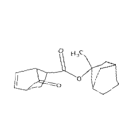 CC1(OC(=O)C2CC3C=CC2C3=O)CC2CCC1C2